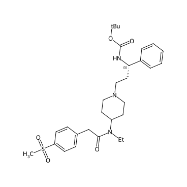 CCN(C(=O)Cc1ccc(S(C)(=O)=O)cc1)C1CCN(CC[C@H](NC(=O)OC(C)(C)C)c2ccccc2)CC1